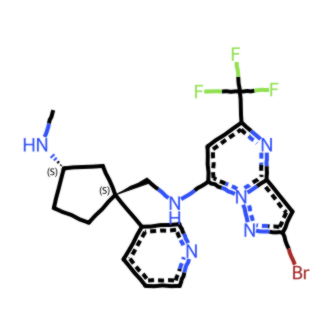 CN[C@H]1CC[C@@](CNc2cc(C(F)(F)F)nc3cc(Br)nn23)(c2cccnc2)C1